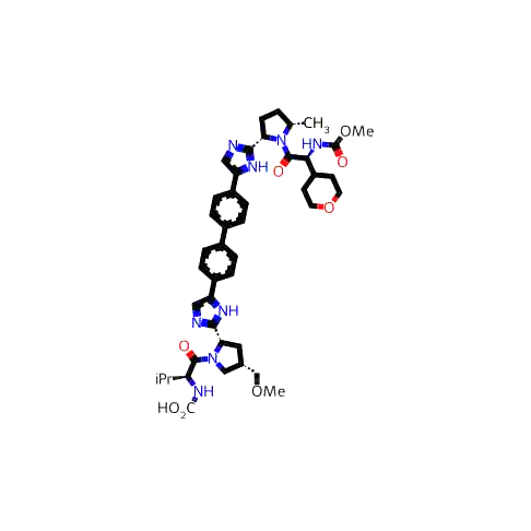 COC[C@H]1C[C@@H](c2ncc(-c3ccc(-c4ccc(-c5cnc([C@@H]6CC[C@H](C)N6C(=O)[C@@H](NC(=O)OC)C6CCOCC6)[nH]5)cc4)cc3)[nH]2)N(C(=O)[C@@H](NC(=O)O)C(C)C)C1